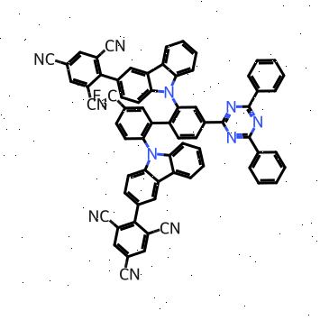 N#Cc1cc(C#N)c(-c2ccc3c(c2)c2ccccc2n3-c2ccc(C(F)(F)F)cc2-c2ccc(-c3nc(-c4ccccc4)nc(-c4ccccc4)n3)cc2-n2c3ccccc3c3cc(-c4c(C#N)cc(C#N)cc4C#N)ccc32)c(C#N)c1